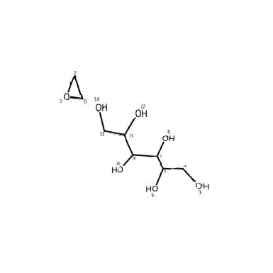 C1CO1.OCC(O)C(O)C(O)C(O)CO